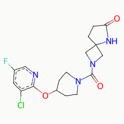 O=C1CCC2(CN(C(=O)N3CCC(Oc4ncc(F)cc4Cl)CC3)C2)N1